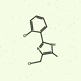 Cc1[nH]c(-c2ccccc2Cl)nc1CCl